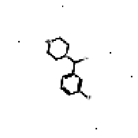 CCC(c1cccc(C(C)C)c1)N1CCNCC1